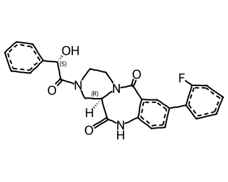 O=C1Nc2ccc(-c3ccccc3F)cc2C(=O)N2CCN(C(=O)[C@@H](O)c3ccccc3)C[C@H]12